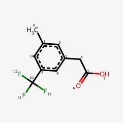 Cc1cc(CC(=O)O)cc(C(F)(F)F)c1